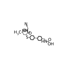 CC(C)CC(Sc1ccc(-c2ccc(CNC(=O)O)cc2)cc1)C(=O)NCC#N